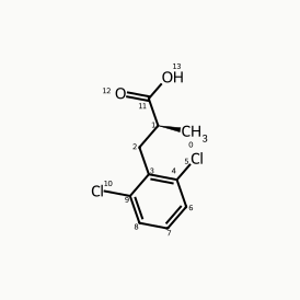 C[C@@H](Cc1c(Cl)cccc1Cl)C(=O)O